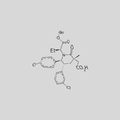 CC[C@@H](C(=O)OC(C)(C)C)N1C(=O)[C@](C)(CC(=O)O)C[C@H](c2cccc(Cl)c2)[C@H]1c1ccc(Cl)cc1